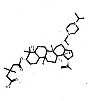 C=C(C)[C@@H]1CC[C@]2(CCN3CCN(C(C)C)CC3)CC[C@]3(C)[C@H](CC[C@@H]4[C@@]5(C)CC[C@H](OC(=O)CC(C)(C)CC(=O)O)C(C)(C)[C@@H]5CC[C@]43C)[C@@H]12